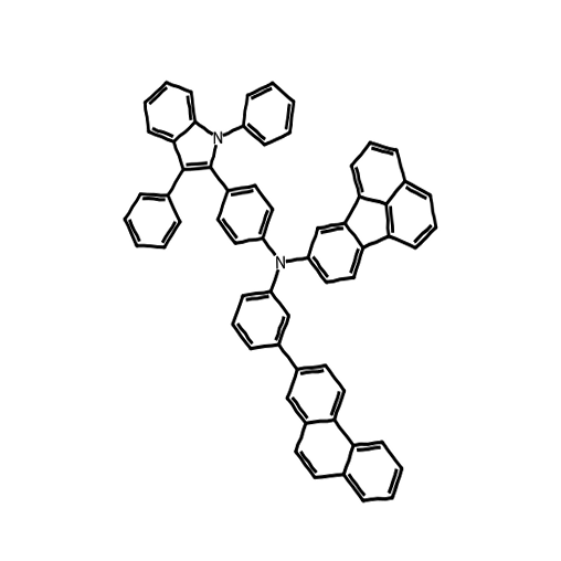 c1ccc(-c2c(-c3ccc(N(c4cccc(-c5ccc6c(ccc7ccccc76)c5)c4)c4ccc5c(c4)-c4cccc6cccc-5c46)cc3)n(-c3ccccc3)c3ccccc23)cc1